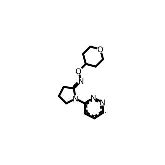 [c]1ccc(N2CCCC2=NOC2CCOCC2)nn1